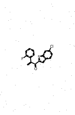 C=C(C(=O)c1cc2ccc(Cl)cc2s1)c1ccccc1F